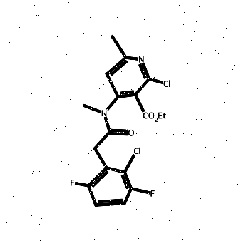 CCOC(=O)c1c(N(C)C(=O)Cc2c(F)ccc(F)c2Cl)cc(C)nc1Cl